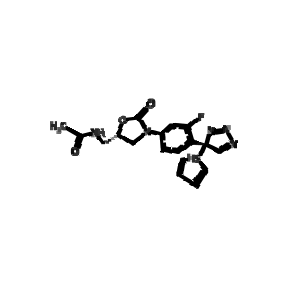 CC(=O)NC[C@H]1CN(c2ccc([C@]3([SH]4C=CC=C4)C=NN=N3)c(F)c2)C(=O)O1